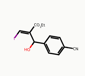 CCOC(=O)/C(=C/I)C(O)c1ccc(C#N)cc1